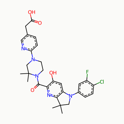 CC1(C)CN(c2ccc(Cl)c(F)c2)c2cc(O)c(C(=O)N3CCN(c4ccc(CC(=O)O)cn4)CC3(C)C)nc21